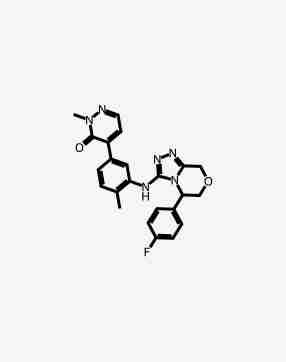 Cc1ccc(-c2ccnn(C)c2=O)cc1Nc1nnc2n1C(c1ccc(F)cc1)COC2